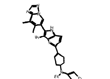 CCN(C1CCC(c2ccc3[nH]c(-c4cn5ncnc5c(C)c4C)c(C(C)C)c3n2)CC1)C1COC1